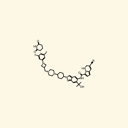 CC(C)(O)c1cc2nn(C3CCC(N4CCN(CC5CN(c6cc(F)c([C@H]7CCC(=O)NC7=O)c(F)c6)C5)CC4)CC3)cc2cc1NC(=O)c1ccc2n1NCC(C#N)=C2